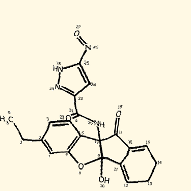 CCc1ccc2c(c1)OC1(O)C3=CCCC=C3C(=O)C21NC(=O)c1cc(N=O)[nH]n1